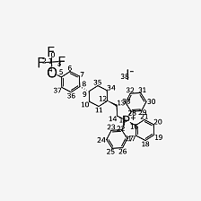 FC(F)(F)Oc1ccc([C@H]2CC[C@H](CC[P+](c3ccccc3)(c3ccccc3)c3ccccc3)CC2)cc1.[I-]